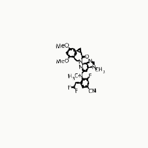 COc1ccc(CN(C(=O)C2CC2)c2nc(N(C)c3c(F)cc(C#N)cc3CC(F)F)cc3c2ncn3C)c(OC)c1